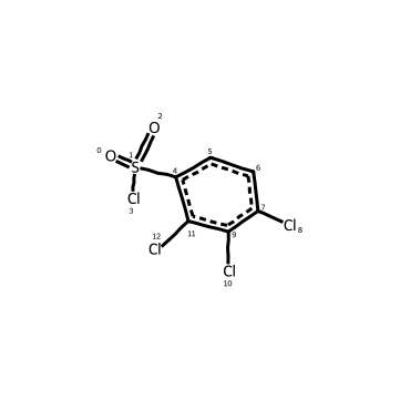 O=S(=O)(Cl)c1ccc(Cl)c(Cl)c1Cl